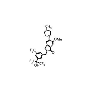 COc1cc2c(cc1N1CCN(C)CC1)CC(Cc1cc(C(F)(F)F)cc(C(O)(C(F)(F)F)C(F)(F)F)c1)C2=O